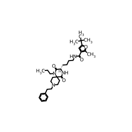 CCCN1C(=O)[C@H](CCCCNC(=O)c2cc(C(C)(C)C)oc2C)NC(=O)C12CCN(CCc1ccccc1)CC2